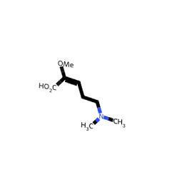 COC(=CCCN(C)C)C(=O)O